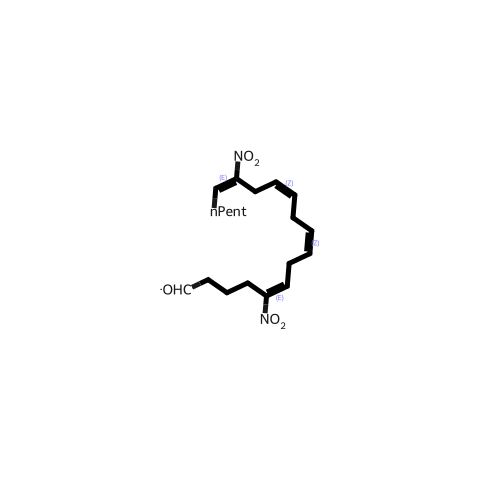 CCCCC/C=C(\C/C=C\C/C=C\C/C=C(\CCC[C]=O)[N+](=O)[O-])[N+](=O)[O-]